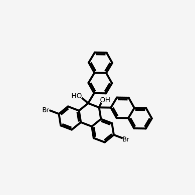 OC1(c2ccc3ccccc3c2)c2cc(Br)ccc2-c2ccc(Br)cc2C1(O)c1ccc2ccccc2c1